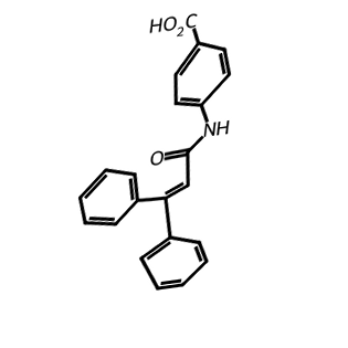 O=C(C=C(c1ccccc1)c1ccccc1)Nc1ccc(C(=O)O)cc1